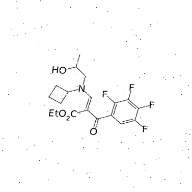 CCOC(=O)C(=CN(CC(C)O)C1CCC1)C(=O)c1cc(F)c(F)c(F)c1F